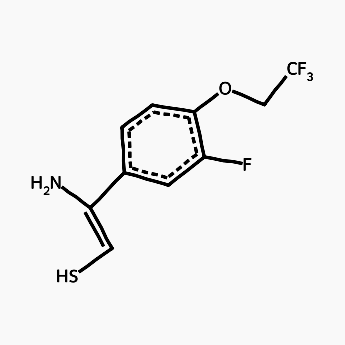 N/C(=C\S)c1ccc(OCC(F)(F)F)c(F)c1